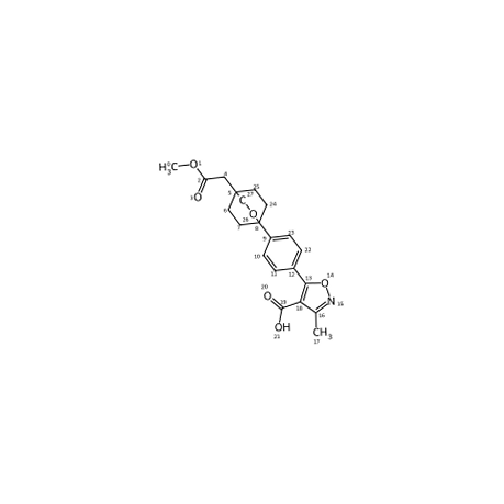 COC(=O)CC12CCC(c3ccc(-c4onc(C)c4C(=O)O)cc3)(CC1)OC2